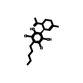 C=C(C)C1CCC(C)=C[C@H]1c1c(O)c(Cl)c(CCCCC)c(Cl)c1O